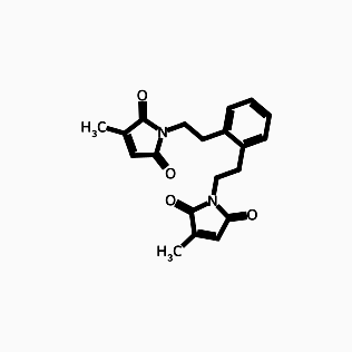 CC1=CC(=O)N(CCc2ccccc2CCN2C(=O)C=C(C)C2=O)C1=O